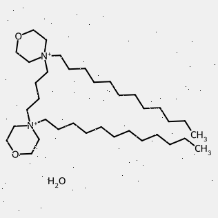 CCCCCCCCCCCC[N+]1(CCCC[N+]2(CCCCCCCCCCCC)CCOCC2)CCOCC1.O